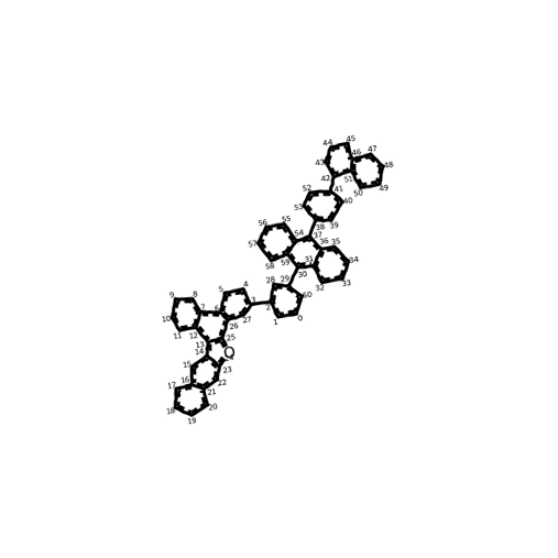 c1cc(-c2ccc3c4ccccc4c4c5cc6ccccc6cc5oc4c3c2)cc(-c2c3ccccc3c(-c3ccc(-c4cccc5ccccc45)cc3)c3ccccc23)c1